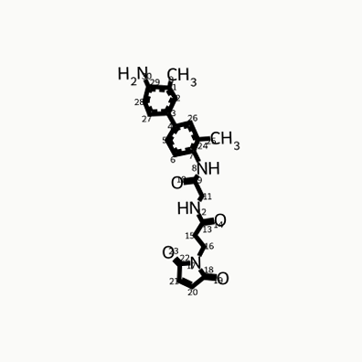 Cc1cc(-c2ccc(NC(=O)CNC(=O)CCN3C(=O)C=CC3=O)c(C)c2)ccc1N